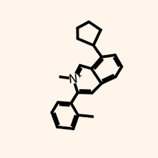 Cc1ccccc1-c1cc2cccc(C3CCCC3)c2c[n+]1C